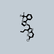 CCCc1c(Cn2ccnc2-c2ccccc2C(F)(F)F)nc2ccc(Cl)nn12